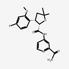 COc1cc(F)ccc1[C@@H]1CC(C)(C)O[C@@H]1C(=O)Nc1ccnc(C(N)=O)c1